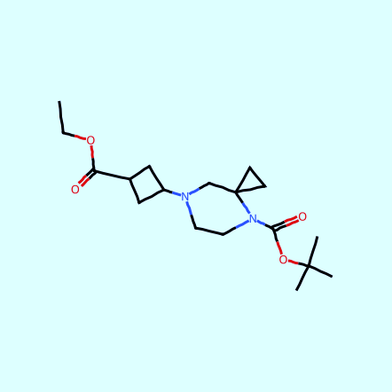 CCOC(=O)C1CC(N2CCN(C(=O)OC(C)(C)C)C3(CC3)C2)C1